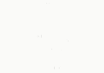 CCC(=O)Oc1ccc(O)cc1.Cl